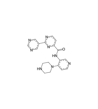 O=C(Nc1cnccc1N1CCNCC1)c1ccnc(-c2cncnc2)n1